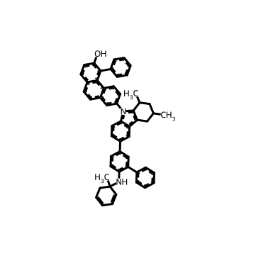 CC1Cc2c(n(-c3ccc4c(ccc5ccc(O)c(-c6ccccc6)c54)c3)c3ccc(-c4ccc(NC5(C)C=CC=CC5)c(-c5ccccc5)c4)cc23)C(C)C1